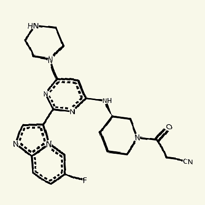 N#CCC(=O)N1CCC[C@@H](Nc2cc(N3CCNCC3)nc(-c3cnc4ccc(F)cn34)n2)C1